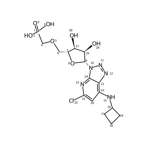 O=P(O)(O)COC[C@H]1O[C@@H](n2nnc3c(NC4CCC4)cc(Cl)nc32)[C@H](O)[C@@H]1O